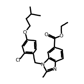 CCOC(=O)c1ccc2nc(C)n(Cc3ccc(OCCC(C)C)cc3Cl)c2c1